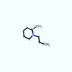 CCCN1CCCC[C@H]1C